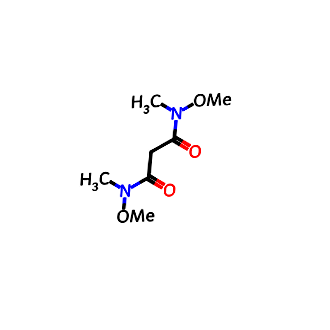 CON(C)C(=O)CC(=O)N(C)OC